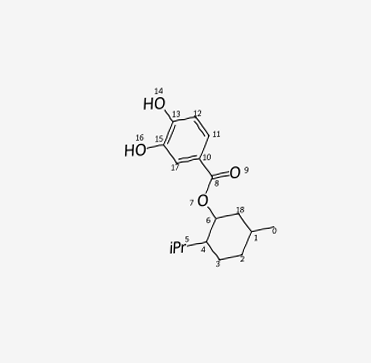 CC1CCC(C(C)C)C(OC(=O)c2ccc(O)c(O)c2)C1